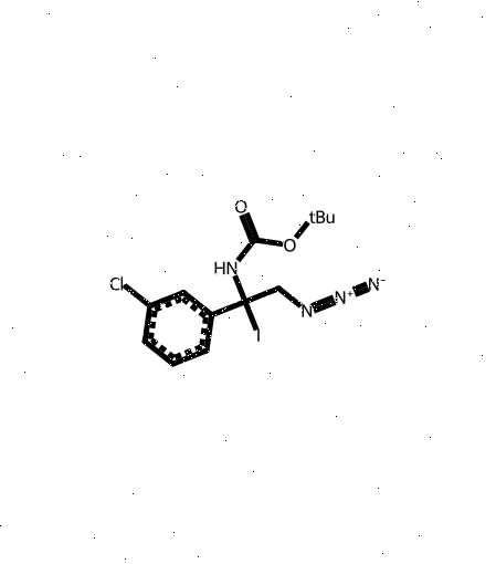 CC(C)(C)OC(=O)NC(I)(CN=[N+]=[N-])c1cccc(Cl)c1